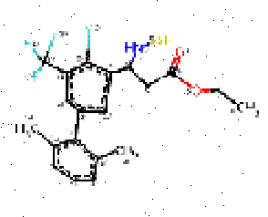 CCOC(=O)CC(NS)c1cc(-c2c(C)cccc2C)cc(C(F)(F)F)c1F